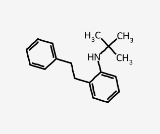 CC(C)(C)Nc1ccccc1CCc1ccccc1